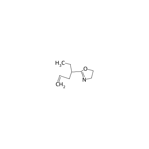 C=CCC(CC)C1=NCCO1